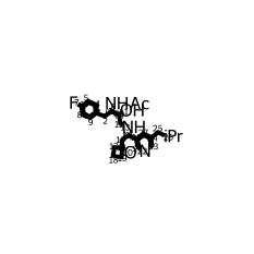 CC(=O)N[C@@H](Cc1ccc(F)cc1)[C@H](O)CN[C@H]1CC2(CCC2)Oc2ncc(CC(C)C)cc21